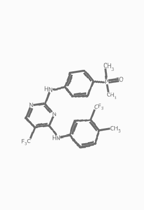 Cc1ccc(Nc2nc(Nc3ccc(P(C)(C)=O)cc3)ncc2C(F)(F)F)cc1C(F)(F)F